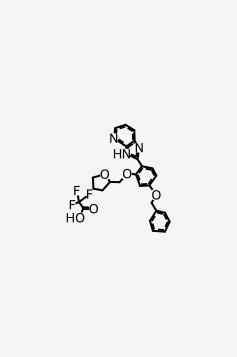 O=C(O)C(F)(F)F.c1ccc(COc2ccc(-c3nc4cccnc4[nH]3)c(OCC3CCCO3)c2)cc1